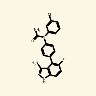 NC(=O)N(c1ccc(-c2c(F)ccc3[nH]nc(N)c23)cc1)c1cccc(Cl)c1